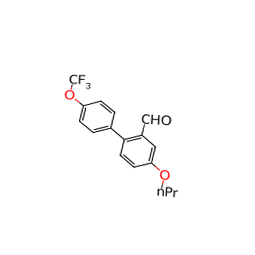 CCCOc1ccc(-c2ccc(OC(F)(F)F)cc2)c(C=O)c1